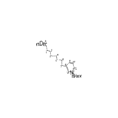 CCCCCCCCCCCCCCCCCc1ccc[n+](CCCCCC)c1